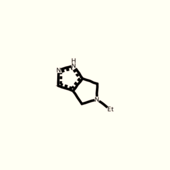 CCN1Cc2[c]n[nH]c2C1